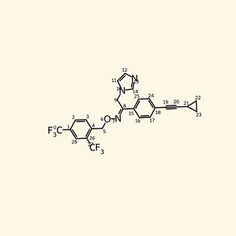 FC(F)(F)c1ccc(CO/N=C(\Cn2ccnc2)c2ccc(C#CC3CC3)cc2)c(C(F)(F)F)c1